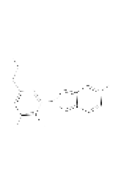 CC(C)(C)c1cc(CCO)cc(-n2nc3ccc(C(=O)O)cc3n2)c1O